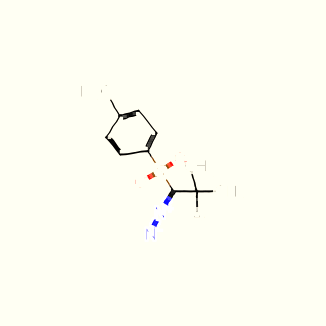 CC(=O)C(C)(C)C(=[N+]=[N-])S(=O)(=O)c1ccc(C)cc1